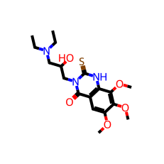 CCN(CC)CC(O)Cn1c(=S)[nH]c2c(OC)c(OC)c(OC)cc2c1=O